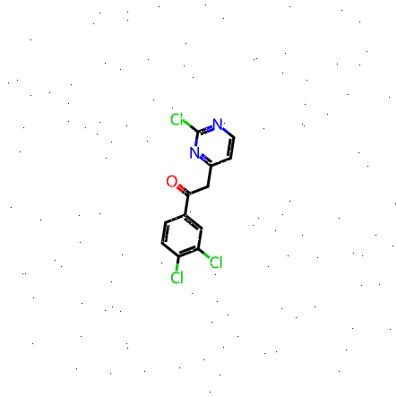 O=C(Cc1ccnc(Cl)n1)c1ccc(Cl)c(Cl)c1